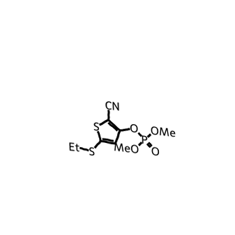 CCSc1cc(OP(=O)(OC)OC)c(C#N)s1